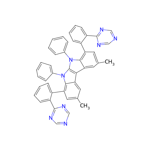 Cc1cc(-c2ccccc2-c2ncncn2)c2c(c1)c1c3cc(C)cc(-c4ccccc4-c4ncncn4)c3n(-c3ccccc3)c1n2-c1ccccc1